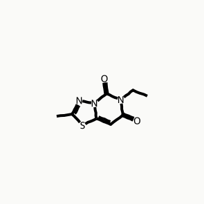 CCn1c(=O)cc2sc(C)nn2c1=O